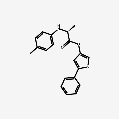 Cc1ccc(N[C@@H](C)C(=O)Oc2csc(-c3ccccc3)c2)cc1